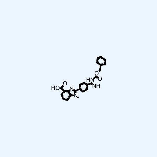 Cn1c(-c2ccc(C(=N)NC(=O)OCc3ccccc3)cc2)nc2c(C(=O)O)cccc21